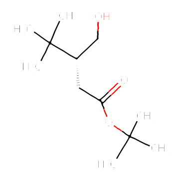 CC(C)(C)OC(=O)C[C@@H](CO)C(C)(C)C